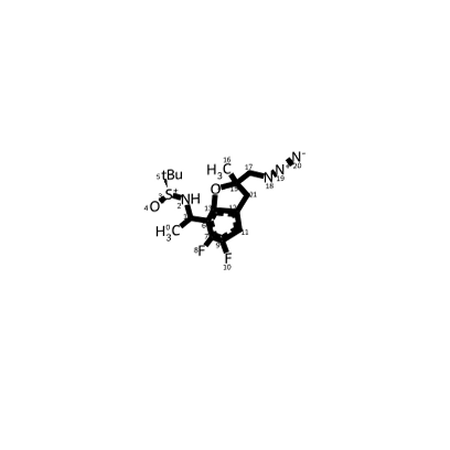 CC(N[S@+]([O-])C(C)(C)C)c1c(F)c(F)cc2c1OC(C)(CN=[N+]=[N-])C2